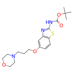 CC(C)(C)OC(=O)Nc1nc2cc(OCCCN3CCOCC3)ccc2s1